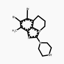 Cc1c(Br)c(Br)c2c3c1nc(N1CCNCC1)n3CCC2